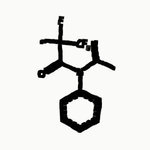 C=C(C)N(C(=O)C(C)(F)C(F)(F)F)c1ccccc1